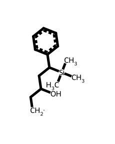 [CH2]CC(O)CC(c1ccccc1)[Si](C)(C)C